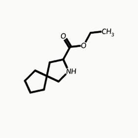 CCOC(=O)C1CC2(CCCC2)CN1